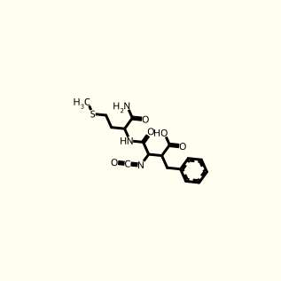 CSCCC(NC(=O)C(N=C=O)C(Cc1ccccc1)C(=O)O)C(N)=O